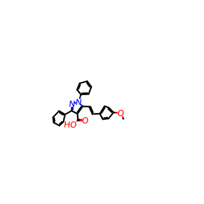 COc1ccc(C=Cc2c(C(=O)O)c(-c3ccccc3)nn2-c2ccccc2)cc1